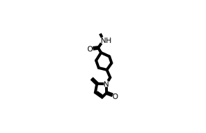 C=C1C=CC(=O)N1CC1CCC(C(=O)NC)CC1